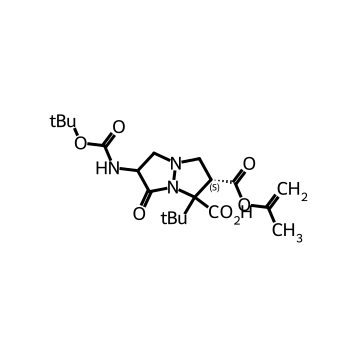 C=C(C)OC(=O)[C@H]1CN2CC(NC(=O)OC(C)(C)C)C(=O)N2C1(C(=O)O)C(C)(C)C